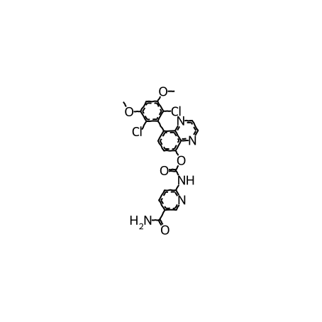 COc1cc(OC)c(Cl)c(-c2ccc(OC(=O)Nc3ccc(C(N)=O)cn3)c3nccnc23)c1Cl